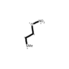 CSCCO[N+](=O)[O-]